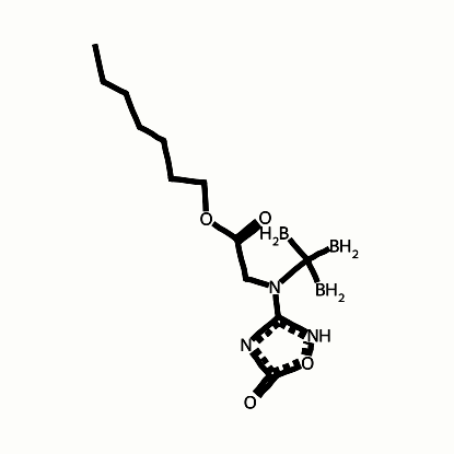 BC(B)(B)N(CC(=O)OCCCCCCC)c1nc(=O)o[nH]1